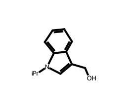 CC(C)n1cc(CO)c2ccccc21